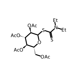 CCN(CC)C(=S)SC1O[C@H](COC(C)=O)[C@@H](OC(C)=O)[C@H](OC(C)=O)[C@H]1OC(C)=O